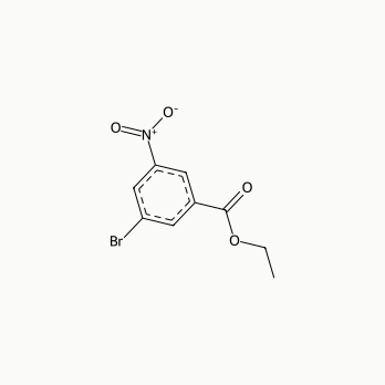 CCOC(=O)c1cc(Br)cc([N+](=O)[O-])c1